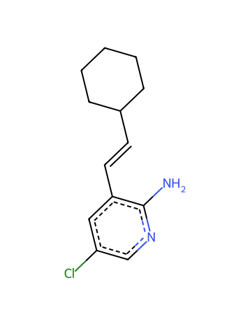 Nc1ncc(Cl)cc1/C=C/C1CCCCC1